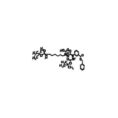 CC(C)(C)OC(=O)NCCCCCCN(NC(=O)N(NC(=O)OC(C)(C)C)c1cccc(C(=O)OCc2ccccc2)c1)C(=O)O